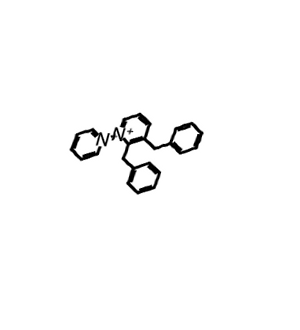 c1ccc(Cc2ccc[n+](-[n+]3ccccc3)c2Cc2ccccc2)cc1